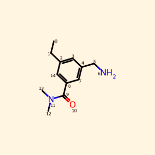 CCc1[c]c(CN)cc(C(=O)N(C)C)c1